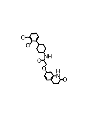 O=C1CCc2ccc(OCC(=O)NC3CCC(c4cccc(Cl)c4Cl)CC3)cc2N1